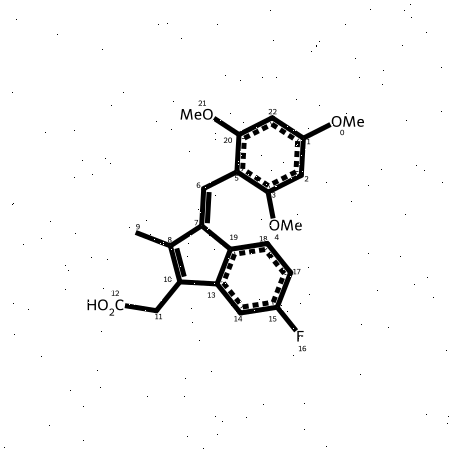 COc1cc(OC)c(C=C2C(C)=C(CC(=O)O)c3cc(F)ccc32)c(OC)c1